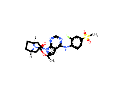 CC(C)OC(=O)N1[C@H]2CC[C@H]1CC(n1ccc3c(Nc4ccc(S(C)(=O)=O)cc4F)ncnc31)C2